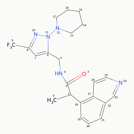 CC(C(=O)NCc1cc(C(F)(F)F)nn1N1CCCCC1)c1cccc2cnccc12